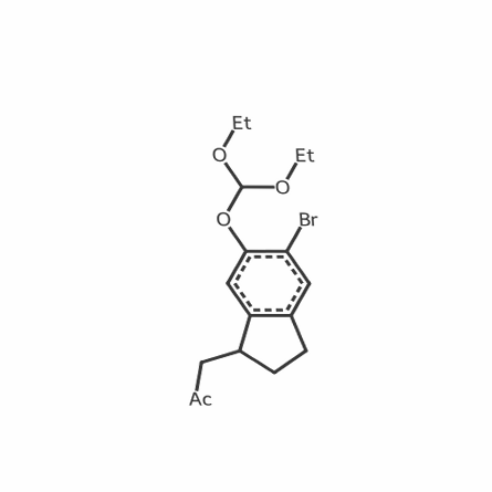 CCOC(OCC)Oc1cc2c(cc1Br)CCC2CC(C)=O